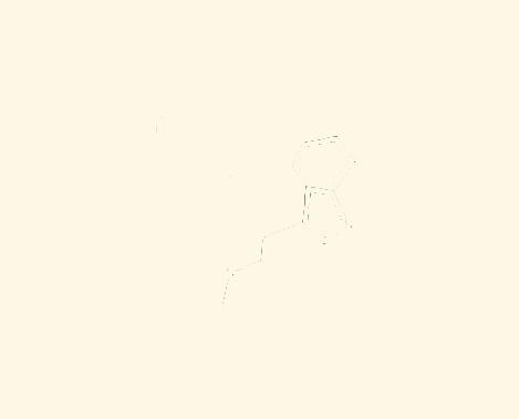 CNCCc1c[nH]c2ccccc12.O.O.O.O.O.[CaH2]